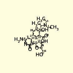 CCN(CC)CC.Nc1ccn([C@H]2CS[C@@H](CO)O2)c(=O)n1.O=C(O)c1ccccc1O